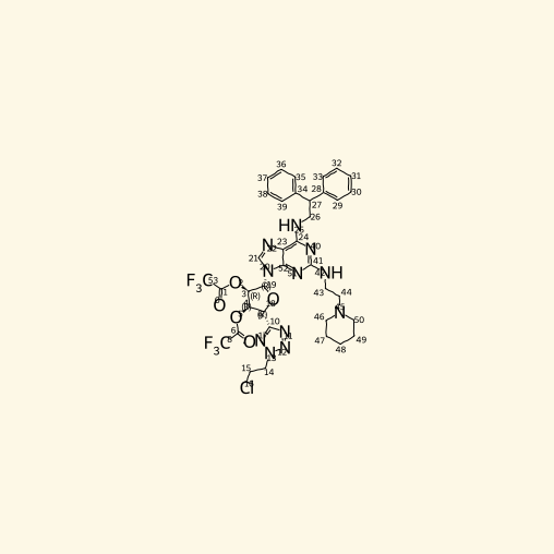 O=C(O[C@@H]1[C@H](OC(=O)C(F)(F)F)[C@@H](c2nnn(CCCl)n2)O[C@H]1n1cnc2c(NCC(c3ccccc3)c3ccccc3)nc(NCCN3CCCCC3)nc21)C(F)(F)F